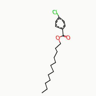 CCCCCCCCCCCCOC(=O)c1ccc(Cl)cc1